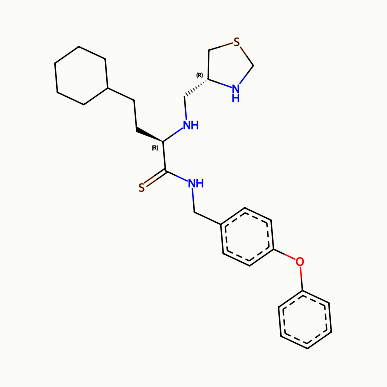 S=C(NCc1ccc(Oc2ccccc2)cc1)[C@@H](CCC1CCCCC1)NC[C@@H]1CSCN1